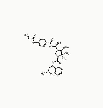 C=CC(=O)Nc1ccc(C(=O)NC(=N)C2=C(NC)C(C)(C)N(C(=O)NC(CN(C)C)c3ccccc3)C2)nc1